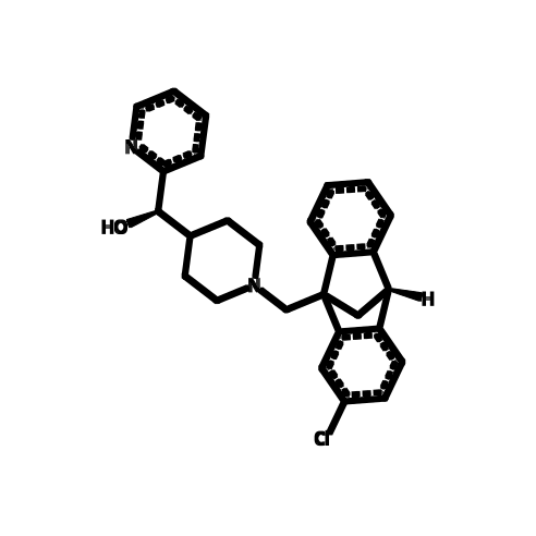 O[C@@H](c1ccccn1)C1CCN(CC23C[C@H](c4ccccc42)c2ccc(Cl)cc23)CC1